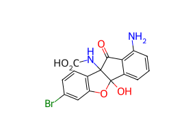 Nc1cccc2c1C(=O)C1(NC(=O)O)c3ccc(Br)cc3OC21O